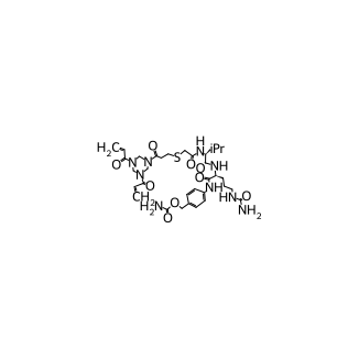 C=CC(=O)N1CN(C(=O)C=C)CN(C(=O)CCSCC(=O)N[C@H](C(=O)N[C@@H](CCCNC(N)=O)C(=O)Nc2ccc(COC(N)=O)cc2)C(C)C)C1